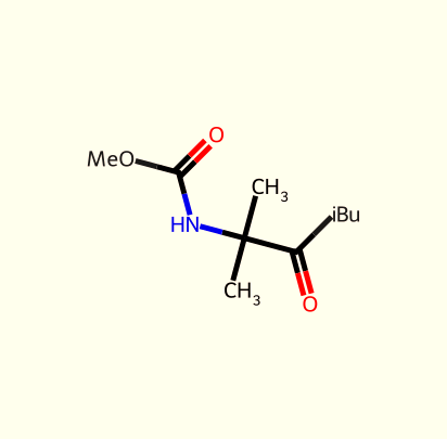 CCC(C)C(=O)C(C)(C)NC(=O)OC